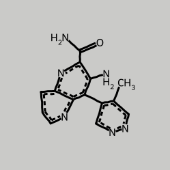 Cc1cnncc1-c1c(N)c(C(N)=O)nc2cccnc12